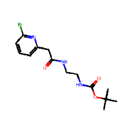 CC(C)(C)OC(=O)NCCNC(=O)Cc1cccc(Br)n1